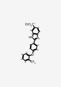 CCOC(=O)c1ccc2nc(-c3ccc(Oc4ccccc4C(F)(F)F)cc3)[nH]c2c1